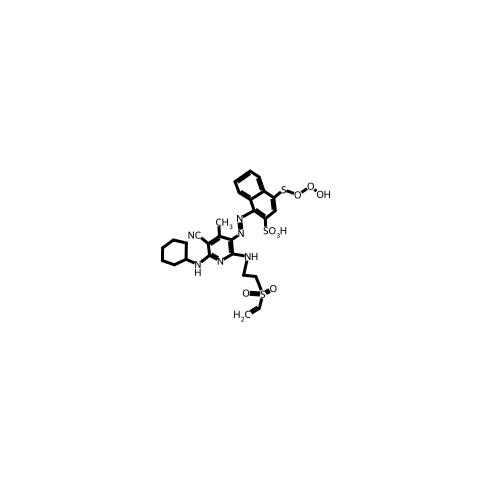 C=CS(=O)(=O)CCNc1nc(NC2CCCCC2)c(C#N)c(C)c1/N=N/c1c(S(=O)(=O)O)cc(SOOO)c2ccccc12